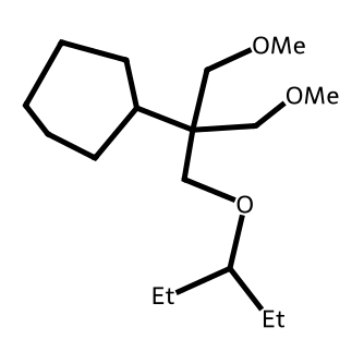 CCC(CC)OCC(COC)(COC)C1CCCCC1